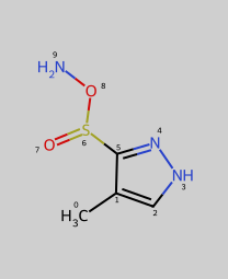 Cc1c[nH]nc1S(=O)ON